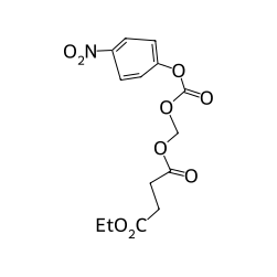 CCOC(=O)CCC(=O)OCOC(=O)Oc1ccc([N+](=O)[O-])cc1